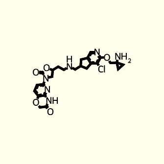 NC1(COc2ncc3c(c2Cl)CC(CNCCC2CN(c4ccc5c(n4)NC(=O)CO5)C(=O)O2)C3)CC1